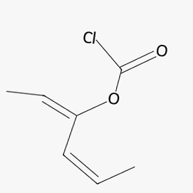 C/C=C\C(=C/C)OC(=O)Cl